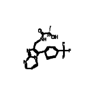 C[C@H](O)C(=O)NCc1nc2ncccn2c1-c1ccc(C(F)(F)F)cc1